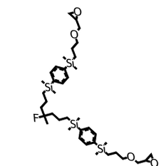 CC(F)(CCC[Si](C)(C)c1ccc([Si](C)(C)CCCOCC2CO2)cc1)CCC[Si](C)(C)c1ccc([Si](C)(C)CCCOCC2CO2)cc1